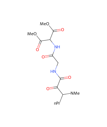 CCCC(NC)C(=O)C(=O)NCC(=O)NC(C(=O)OC)C(=O)OC